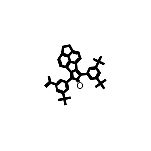 C=C(C)c1cc(C2=C3C(=C(c4cc(C(C)(C)C)cc(C(C)(C)C)c4)C2=O)c2ccc4c5c(ccc3c25)CC4)cc(C(C)(C)C)c1